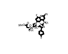 CCN(c1nc(-c2ccc(F)cc2)c(C#N)s1)c1cc(C(C)C)nc2c(F)cc(N3CC(NS(=O)(=O)CC(=O)OC)C3)cc12